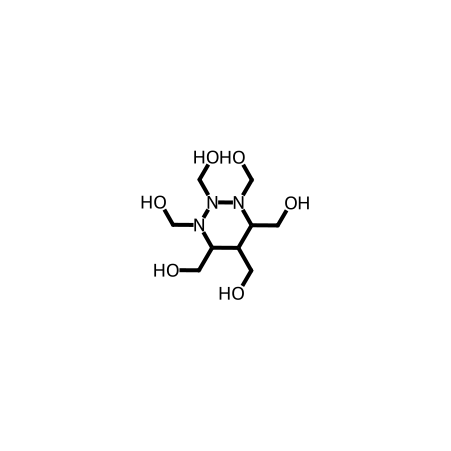 OCC1C(CO)N(CO)N(CO)N(CO)C1CO